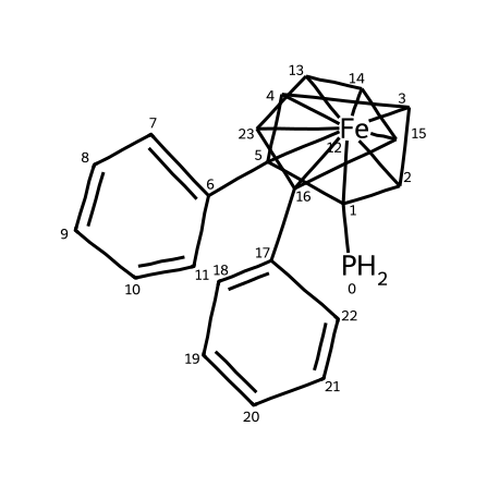 P[C]12[CH]3[CH]4[CH]5[C]1(c1ccccc1)[Fe]43521678[CH]2[CH]1[CH]6[C]7(c1ccccc1)[CH]28